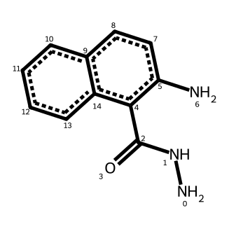 NNC(=O)c1c(N)ccc2ccccc12